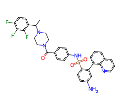 CC(c1ccc(F)c(F)c1F)N1CCN(C(=O)c2ccc(NS(=O)(=O)c3ccc(N)cc3-c3cccc4cccnc34)cc2)CC1